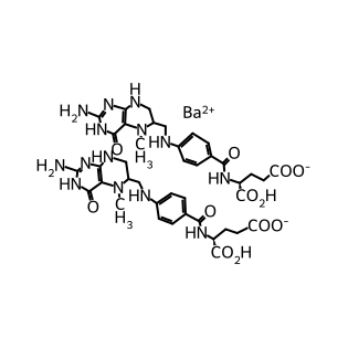 CN1c2c(nc(N)[nH]c2=O)NCC1CNc1ccc(C(=O)N[C@@H](CCC(=O)[O-])C(=O)O)cc1.CN1c2c(nc(N)[nH]c2=O)NCC1CNc1ccc(C(=O)N[C@@H](CCC(=O)[O-])C(=O)O)cc1.[Ba+2]